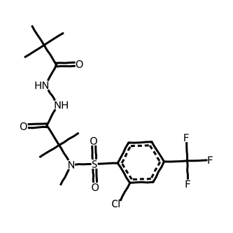 CN(C(C)(C)C(=O)NNC(=O)C(C)(C)C)S(=O)(=O)c1ccc(C(F)(F)F)cc1Cl